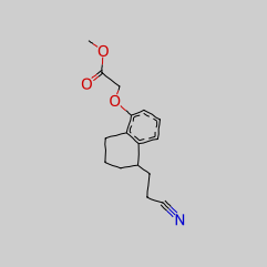 COC(=O)COc1cccc2c1CCCC2CCC#N